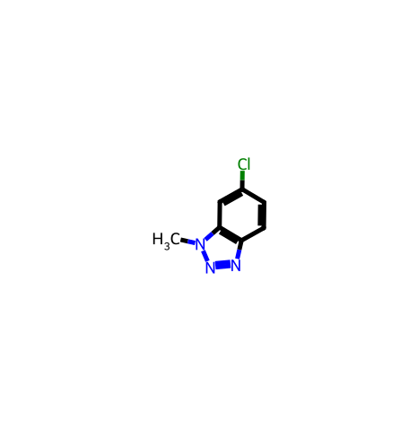 Cn1nnc2ccc(Cl)cc21